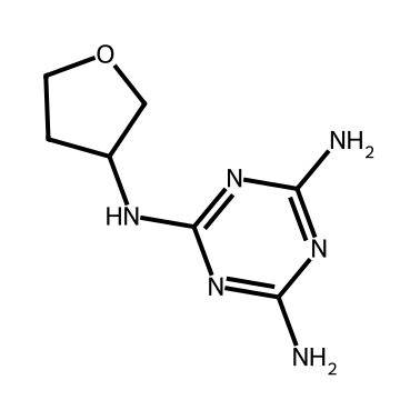 Nc1nc(N)nc(NC2CCOC2)n1